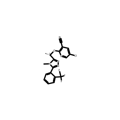 C[C@H](Oc1ncc(Cl)cc1C#N)c1nnc(-c2ccccc2C(F)(F)F)n1C